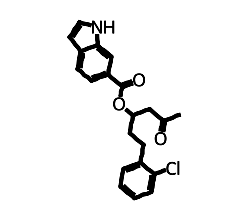 CC(=O)CC(CCc1ccccc1Cl)OC(=O)c1ccc2cc[nH]c2c1